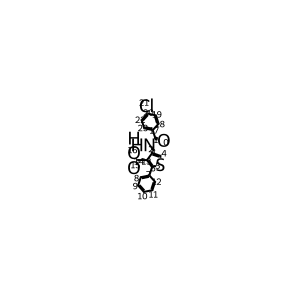 O=C(Nc1csc(-c2ccccc2)c1C(=O)O)c1ccc(Cl)cc1